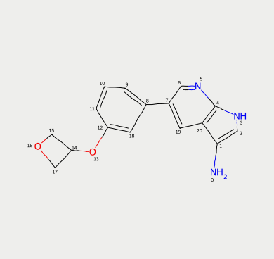 Nc1c[nH]c2ncc(-c3cccc(OC4COC4)c3)cc12